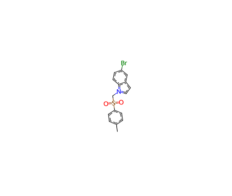 Cc1ccc(S(=O)(=O)Cn2ccc3cc(Br)ccc32)cc1